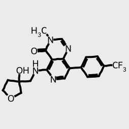 Cn1cnc2c(-c3ccc(C(F)(F)F)cc3)cnc(NCC3(O)CCOC3)c2c1=O